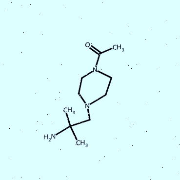 CC(=O)N1CCN(CC(C)(C)N)CC1